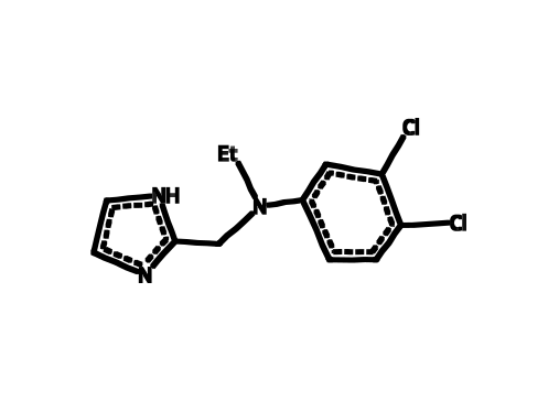 CCN(Cc1ncc[nH]1)c1ccc(Cl)c(Cl)c1